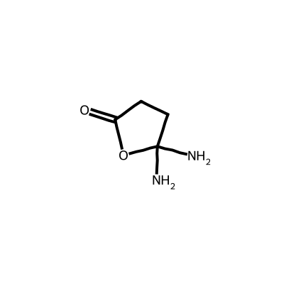 NC1(N)CCC(=O)O1